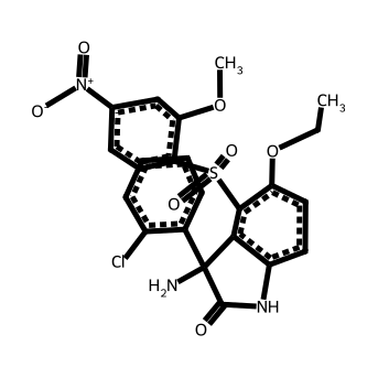 CCOc1ccc2c(c1S(=O)(=O)c1ccc([N+](=O)[O-])cc1OC)C(N)(c1ccccc1Cl)C(=O)N2